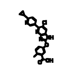 Cc1ccc(Oc2nc3nc(-c4ccc(C5CC5)nc4)c(Cl)cc3[nH]2)cc1C(=O)O